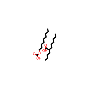 CCCCCCC(CCCC)C(=O)O.CCCCCCCCCOC(=O)O